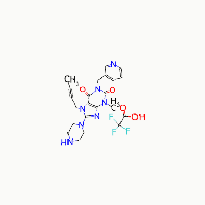 CC#CCn1c(N2CCNCC2)nc2c1c(=O)n(Cc1cccnc1)c(=O)n2C.O=C(O)C(F)(F)F